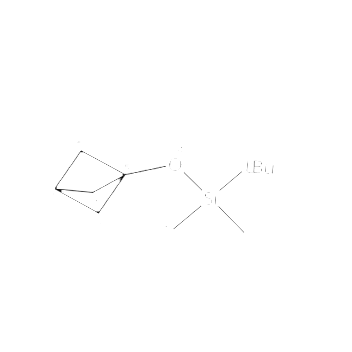 CC(C)(C)[Si](C)(C)OC12CC(C1)C2